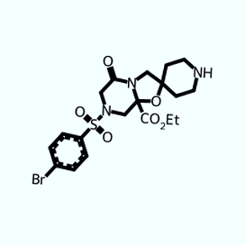 CCOC(=O)C12CN(S(=O)(=O)c3ccc(Br)cc3)CC(=O)N1CC1(CCNCC1)O2